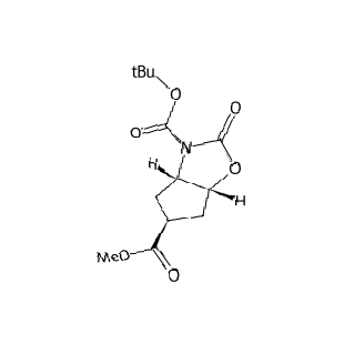 COC(=O)[C@@H]1C[C@H]2OC(=O)N(C(=O)OC(C)(C)C)[C@H]2C1